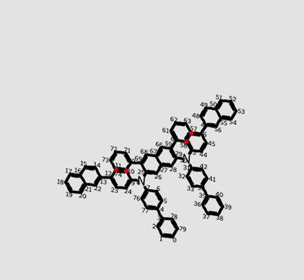 c1ccc(-c2ccc(N(c3ccc(-c4ccc5ccccc5c4)cc3)c3cc4cc(N(c5ccc(-c6ccccc6)cc5)c5ccc(-c6ccc7ccccc7c6)cc5)c(-c5ccccc5)cc4cc3-c3ccccc3)cc2)cc1